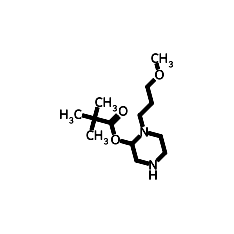 COCCCN1CCNCC1OC(=O)C(C)(C)C